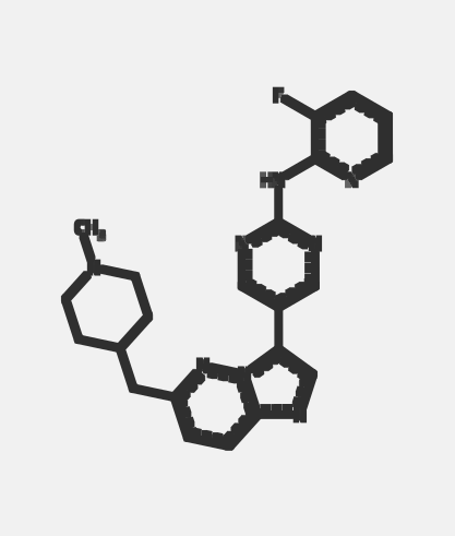 CN1CCC(Cc2ccc3ncc(-c4cnc(Nc5ncccc5F)nc4)n3n2)CC1